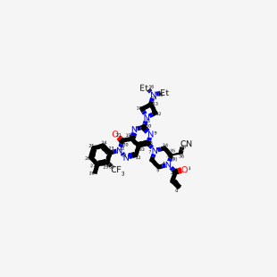 C=CC(=O)N1CCN(c2nc(N3CC(N(CC)CC)C3)nc3c(=O)n(-c4cccc(C)c4C(F)(F)F)ncc23)C[C@H]1CC#N